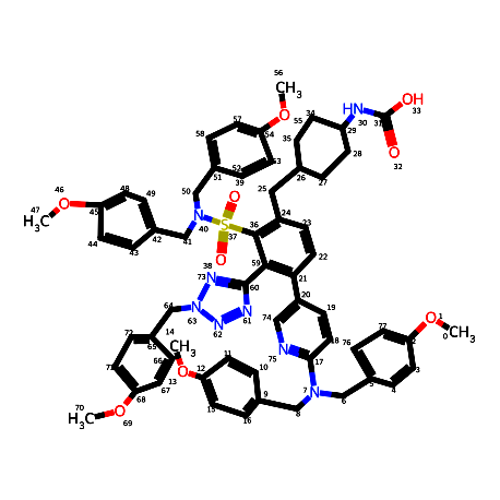 COc1ccc(CN(Cc2ccc(OC)cc2)c2ccc(-c3ccc(CC4CCC(NC(=O)O)CC4)c(S(=O)(=O)N(Cc4ccc(OC)cc4)Cc4ccc(OC)cc4)c3-c3nnn(Cc4ccc(OC)cc4)n3)cn2)cc1